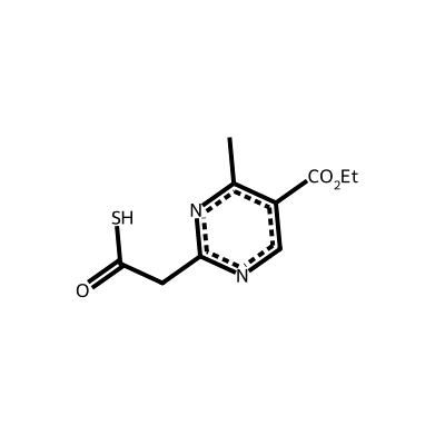 CCOC(=O)c1cnc(CC(=O)S)nc1C